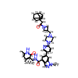 CSc1cc(C)[nH]c(=O)c1CNC(=O)c1cc(-c2ccc(N3CCN(CC4CN(C(=O)CC56CC7CC(CC(C7)C5)C6)C4)CC3)nc2)cc2c1cnn2C(C)C